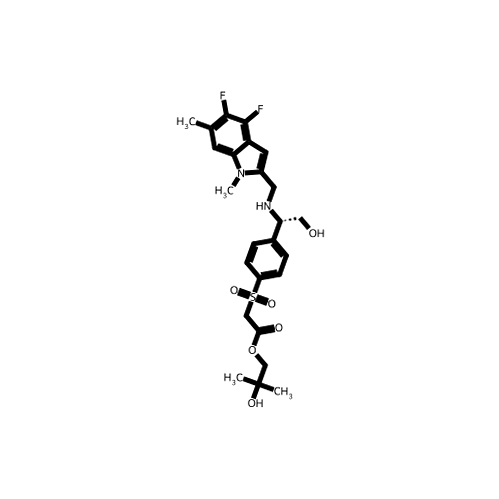 Cc1cc2c(cc(CN[C@H](CO)c3ccc(S(=O)(=O)CC(=O)OCC(C)(C)O)cc3)n2C)c(F)c1F